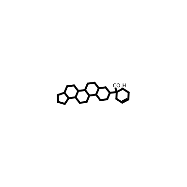 O=C(O)C1(C2CCC3C(CCC4C3CCC3C5CCCC5CCC34)C2)CC=CCC1